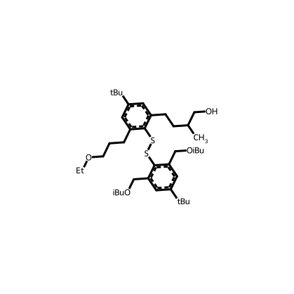 CCOCCCc1cc(C(C)(C)C)cc(CCC(C)CO)c1SSc1c(COCC(C)C)cc(C(C)(C)C)cc1COCC(C)C